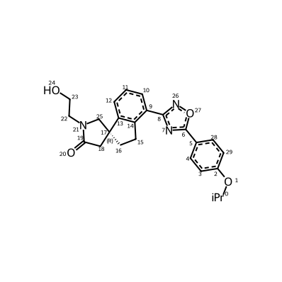 CC(C)Oc1ccc(-c2nc(-c3cccc4c3CC[C@@]43CC(=O)N(CCO)C3)no2)cc1